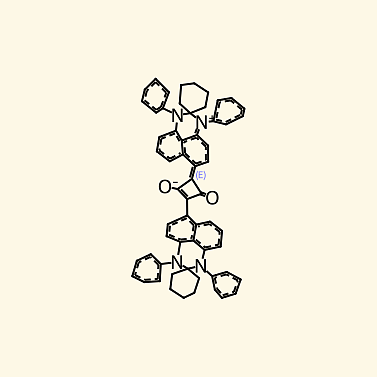 O=C1C(c2ccc3c4c(cccc24)N(c2ccccc2)C2(CCCCC2)N3c2ccccc2)=C([O-])/C1=c1/ccc2c3c(cccc13)N(c1ccccc1)C1(CCCCC1)[N+]=2c1ccccc1